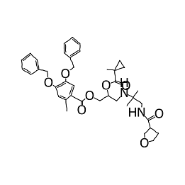 Cc1cc(OCc2ccccc2)c(OCc2ccccc2)cc1C(=O)OCC(CNC(C)(C)CNC(=O)C1CCOC1)OC(=O)C1(C)CC1